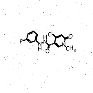 Cn1cc(C(=O)NNc2cccc(F)c2)c(Cl)cc1=O